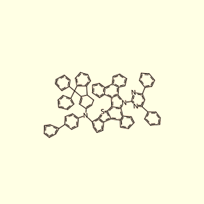 C1=C(N(c2ccc(-c3ccccc3)cc2)c2cccc3c2sc2c3c3ccccc3c3c2c2c4ccccc4c4ccccc4c2n3-c2nc(-c3ccccc3)cc(-c3ccccc3)n2)C=C2C(C1)c1ccccc1C2(c1ccccc1)c1ccccc1